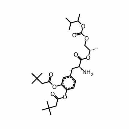 CC(C)C(C)OC(=O)OC[C@H](C)OC(=O)[C@@H](N)Cc1ccc(OC(=O)CC(C)(C)C)c(OC(=O)CC(C)(C)C)c1